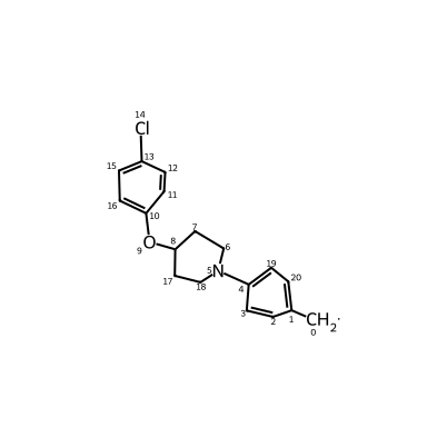 [CH2]c1ccc(N2CCC(Oc3ccc(Cl)cc3)CC2)cc1